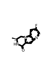 C[C@H]1Cn2c(cc3ncc(F)cc32)C(=O)N1